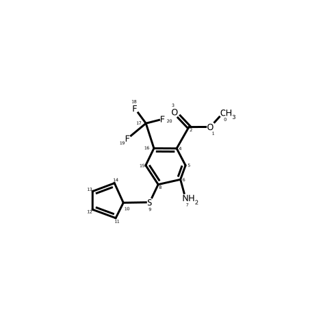 COC(=O)c1cc(N)c(SC2C=CC=C2)cc1C(F)(F)F